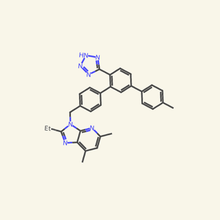 CCc1nc2c(C)cc(C)nc2n1Cc1ccc(-c2cc(-c3ccc(C)cc3)ccc2-c2nn[nH]n2)cc1